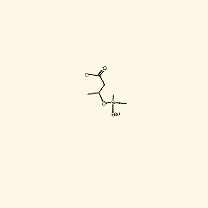 CC(CC(=O)Cl)O[Si](C)(C)C(C)(C)C